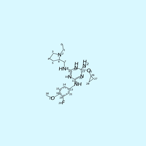 CCN1CCCC1CNC1=NC(Nc2ccc(OC)c(F)c2)=NC(N)(OC2CC2)N1